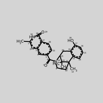 Cc1nc2cc(C(=O)N3CCC4(C)c5cccc(O)c5CC3C4(C)C)ccc2c(=O)[nH]1